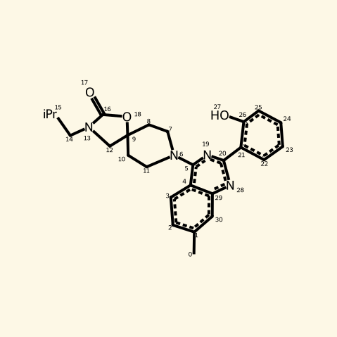 Cc1ccc2c(N3CCC4(CC3)CN(CC(C)C)C(=O)O4)nc(-c3ccccc3O)nc2c1